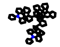 CC1CC=CC2=C1C1(c3ccccc3N(c3ccccc3)c3ccccc31)c1cccc(-c3cccc4c(-c5cc6ccccc6c6c5C5(c7ccccc7-c7ccccc75)c5ccccc5-6)c5cccc(-c6cccc7c6-c6ccccc6C76c7ccccc7N(c7ccccc7)c7ccccc76)c5cc34)c12